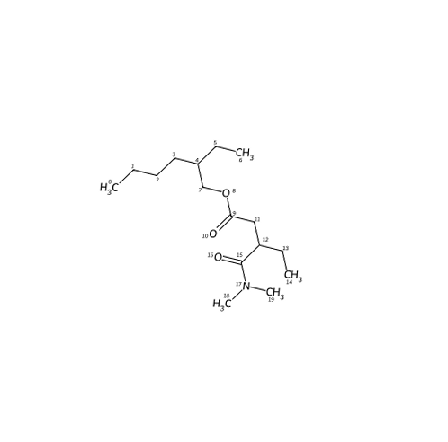 CCCCC(CC)COC(=O)CC(CC)C(=O)N(C)C